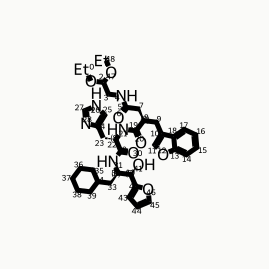 CCOC(CNC(=O)C[C@@H](Cc1coc2ccccc12)C(=O)N[C@@H](Cc1c[nH]cn1)C(=O)N[C@H](CC1CCCCC1)[C@H](O)c1ccco1)OCC